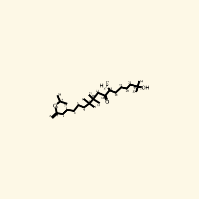 C=C(CCCCCC(C)(C)C(C)(C)CC(=O)C(P)CCCCC(C)(C)O)OC(C)C